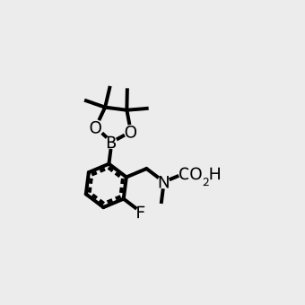 CN(Cc1c(F)cccc1B1OC(C)(C)C(C)(C)O1)C(=O)O